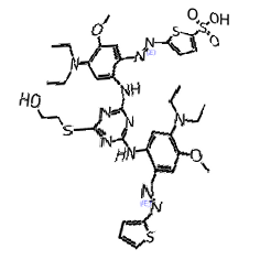 CCN(CC)c1cc(Nc2nc(Nc3cc(N(CC)CC)c(OC)cc3/N=N/c3ccc(S(=O)(=O)O)s3)nc(SCCO)n2)c(/N=N/c2cccs2)cc1OC